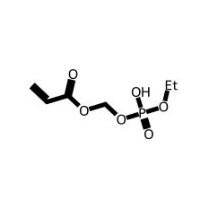 C=CC(=O)OCOP(=O)(O)OCC